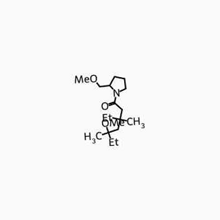 CCC(C)(CC(=O)N1CCCC1COC)CC(C)(CC)OC